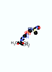 CC1(C)CCC(C23CC(C)(C2)C3)=C(CN2CCN(c3ccc(C(=O)NS(=O)(=O)c4ccc(N[C@H](CCCN5CCOCC5)CSc5ccccc5)c(C(F)(F)F)c4)cc3)CC2)C1